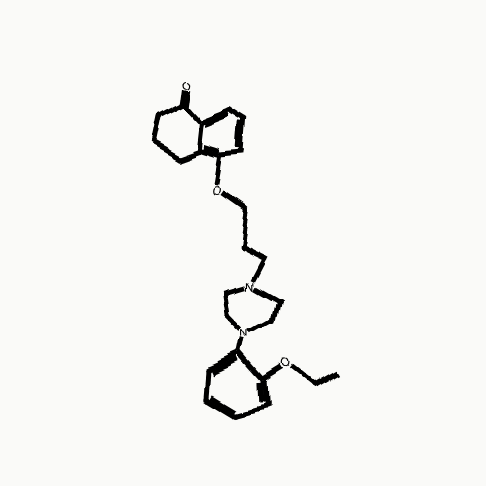 CCOc1ccccc1N1CCN(CCCOc2cccc3c2CCCC3=O)CC1